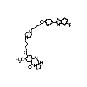 Cc1cc2c(cc1OCCCCN1CCN(CCCCOc3ccc(-c4nc5cc(F)ccc5s4)cc3)CC1)N=C[C@@H]1CCCN1C2=O